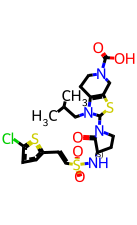 CC(C)CN1C2=C(CN(C(=O)O)CC2)SC1N1CC[C@H](NS(=O)(=O)C=Cc2ccc(Cl)s2)C1=O